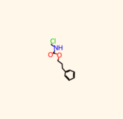 O=C(NCCl)OCCCc1ccccc1